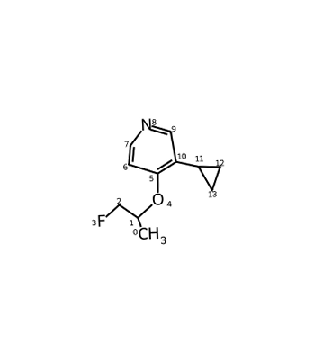 CC(CF)Oc1ccncc1C1CC1